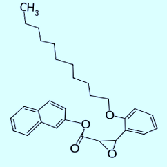 CCCCCCCCCCCOc1ccccc1C1OC1C(=O)Oc1ccc2ccccc2c1